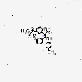 Cc1ccc(N/C(=C2\C(=O)Nc3ccc(S(=O)(=O)N(C)C)cc32)c2ccccc2)cc1